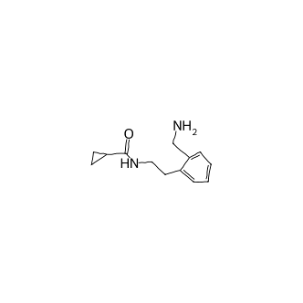 NCc1ccccc1CCNC(=O)C1CC1